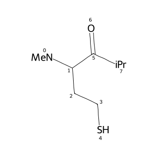 CNC(CCS)C(=O)C(C)C